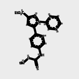 CCOC(=O)c1cc(-c2ccc(NC(=O)OC(C)(C)C)cn2)n(-c2cnccn2)n1